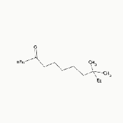 CCCCC(=O)CCCCCC(C)(C)CC